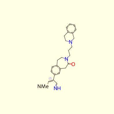 CN/C=C(\C=N)c1ccc2c(c1)CC(=O)N(CCCN1CCc3ccccc3C1)CC2